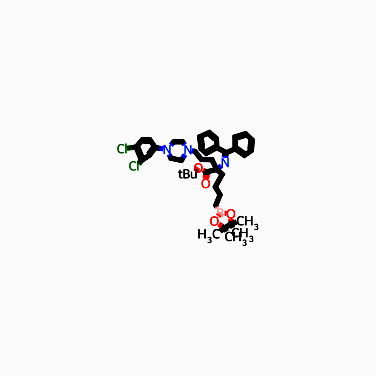 CC(C)(C)OC(=O)C(CCCCB1OC(C)(C)C(C)(C)O1)(CCCN1CCN(c2ccc(Cl)c(Cl)c2)CC1)N=C(c1ccccc1)c1ccccc1